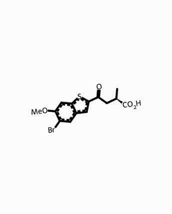 COc1cc2sc(C(=O)C[C@@H](C)C(=O)O)cc2cc1Br